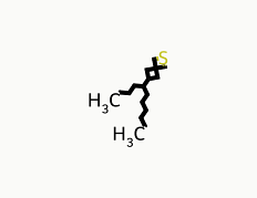 CCCCCCC(CCCC)C1CC2(CSC2)C1